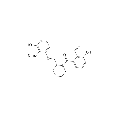 O=Cc1c(O)cccc1OCC1CSCCN1C(=O)c1cccc(O)c1C=O